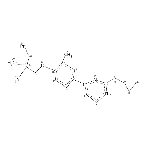 Cc1cc(-c2ccnc(NC3CC3)n2)ccc1OC[C@@](C)(N)CC(C)C